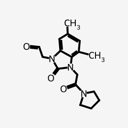 Cc1cc(C)c2c(c1)n(CC=O)c(=O)n2CC(=O)N1CCCC1